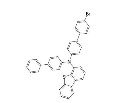 Brc1ccc(-c2ccc(N(c3ccc(-c4ccccc4)cc3)c3cccc4c3sc3ccccc34)cc2)cc1